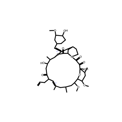 C=CCC1/C=C(\C)CC(C)CC(OC)C2OC(O)(C(=O)C(=O)N3CCC4CC3C(=O)OC(/C4=C/C3CCC(O)C(OC)C3)C(C)C(O)CC1=O)C(C)CC2OC